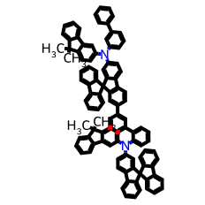 CC1(C)c2ccccc2-c2cc(N(c3cccc(-c4ccccc4)c3)c3ccc4c(c3)C3(c5ccccc5-c5ccccc53)c3cc(-c5cccc(-c6ccccc6N(c6ccc7c(c6)-c6ccccc6C7(C)C)c6ccc7c(c6)C6(c8ccccc8-c8ccccc86)c6ccccc6-7)c5)ccc3-4)ccc21